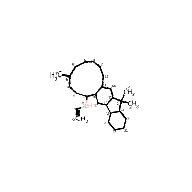 C=CBC1CCC(C)CCCCCC2CC3C(CC12)C1CCCCC1C3(C)C